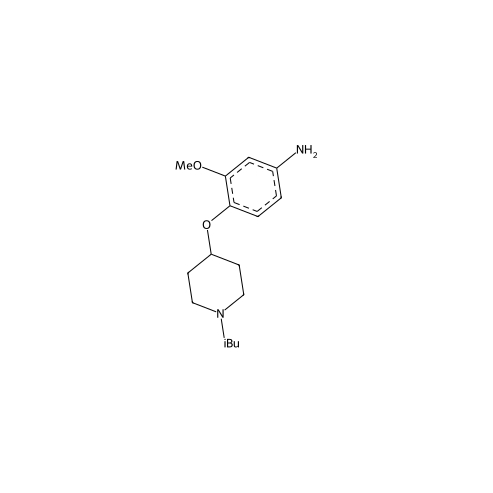 CCC(C)N1CCC(Oc2ccc(N)cc2OC)CC1